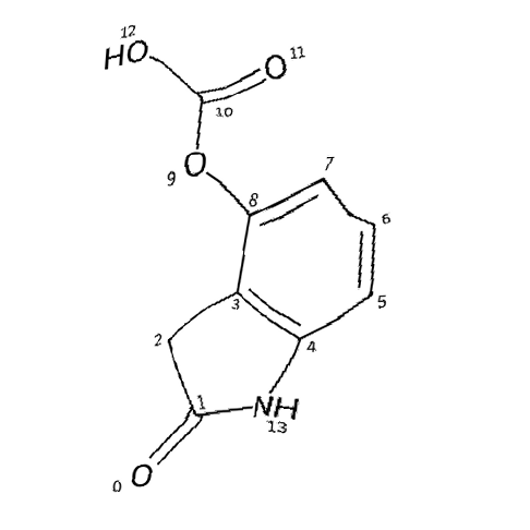 O=C1Cc2c(cccc2OC(=O)O)N1